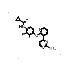 Nc1nccc(-c2cccnc2Oc2ccc(NC(=O)C3CC3)c(F)c2F)n1